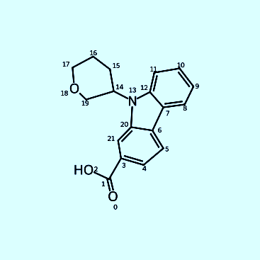 O=C(O)c1ccc2c3ccccc3n(C3CCCOC3)c2c1